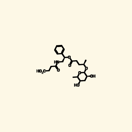 CC1O[C@@H](O[C@H](C)CCC(=O)O[C@@H](CNC(=O)CCC(=O)O)c2ccccc2)[C@@H](O)C[C@H]1O